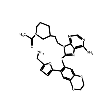 CC(=O)N1CCCC(CCn2c(Sc3cc4c(cc3-c3ccc(CN)o3)OCCO4)nc3c(N)ncnc32)C1